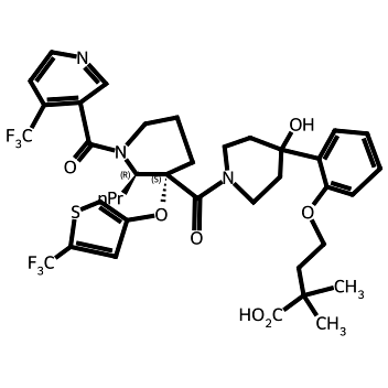 CCC[C@H]1N(C(=O)c2cnccc2C(F)(F)F)CCC[C@@]1(Oc1csc(C(F)(F)F)c1)C(=O)N1CCC(O)(c2ccccc2OCCC(C)(C)C(=O)O)CC1